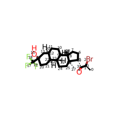 C[C@H](Br)C(=O)[C@H]1CC[C@H]2[C@@H]3CC[C@@H]4C[C@@](O)(C(F)(F)F)CC[C@@H]4[C@H]3CC[C@]12C